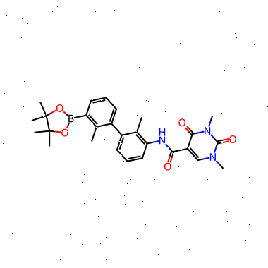 Cc1c(NC(=O)c2cn(C)c(=O)n(C)c2=O)cccc1-c1cccc(B2OC(C)(C)C(C)(C)O2)c1C